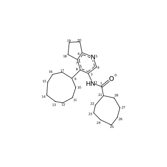 O=C(Nc1cnc2c(c1C1CCCCCCCC1)CCC2)C1CCCCCCC1